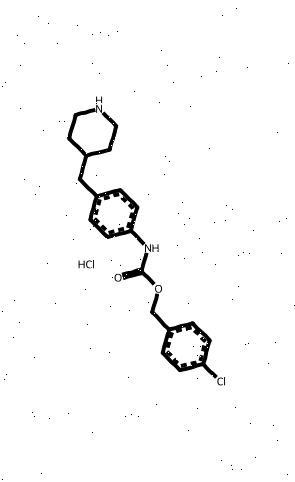 Cl.O=C(Nc1ccc(CC2CCNCC2)cc1)OCc1ccc(Cl)cc1